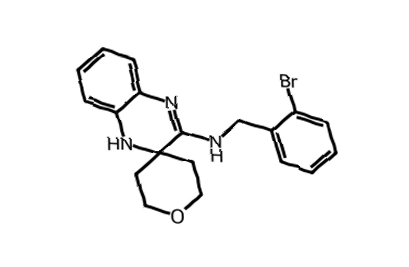 Brc1ccccc1CNC1=Nc2ccccc2NC12CCOCC2